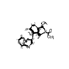 O=C(O)N1Cc2c(cccc2-c2cnc3cnccn23)C1=O